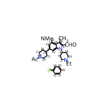 CCN1CCC(n2c(C=O)c(C)c3c(NC)cc(C4CCN(C(C)=O)CC4)cc32)CC1.Fc1ccccc1